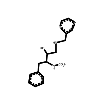 O=C(O)NC(Cc1ccccc1)C(O)CNCc1cnccn1